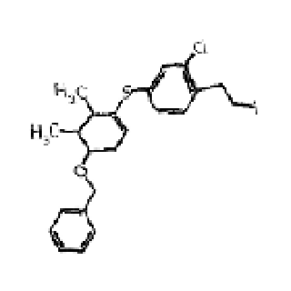 CC1C(Sc2ccc(CCI)c(Cl)c2)=CCC(OCc2ccccc2)C1C